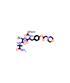 CCCCCC(=O)NC(Cc1ccc(OC(=O)CN2CCOCC2)cc1)C(=O)NC(C(=O)NC(C)(C)C(N)=O)C(C)CC